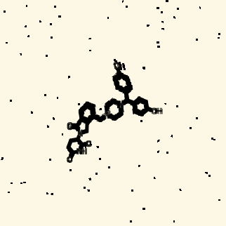 O=C1CCC(N2Cc3c(CN4CCN(C(c5ccc(O)cc5)c5ccc(O)cc5)CC4)cccc3C2=O)C(=O)N1